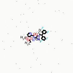 CCC(=O)Oc1c(OC)ccnc1C(=O)N[C@@H](C)C(=O)N[C@@H](C)C(c1cc(F)cc(F)c1)c1cc(F)cc(F)c1